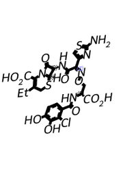 CCC1=C(C(=O)O)N2C(=O)[C@@H](NC(=O)/C(=N\OC[C@H](NC(=O)c3ccc(O)c(O)c3Cl)C(=O)O)c3csc(N)n3)[C@H]2SC1